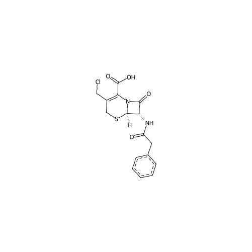 O=C(Cc1ccccc1)N[C@H]1C(=O)N2C(C(=O)O)=C(CCl)CS[C@H]12